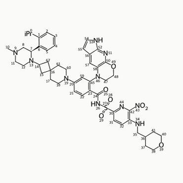 CC(C)c1ccccc1[C@@H]1CN(C)CCN1C1CC2(CCN(c3ccc(C(=O)NS(=O)(=O)c4ccc(NCC5CCOCC5)c([N+](=O)[O-])n4)c(N4CCOc5nc6[nH]ccc6cc54)c3)CC2)C1